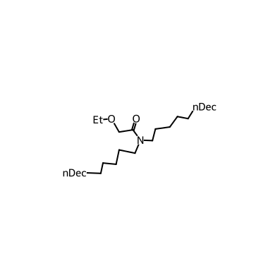 CCCCCCCCCCCCCCCN(CCCCCCCCCCCCCCC)C(=O)COCC